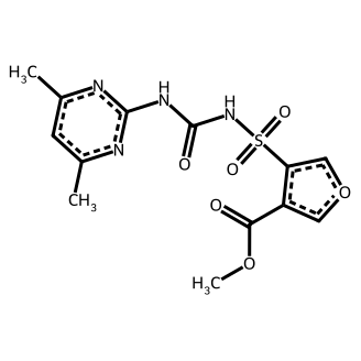 COC(=O)c1cocc1S(=O)(=O)NC(=O)Nc1nc(C)cc(C)n1